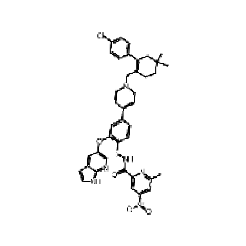 Cc1cc([N+](=O)[O-])cc(C(=O)NSc2ccc(C3=CCN(CC4=C(c5ccc(Cl)cc5)CC(C)(C)CC4)CC3)cc2Oc2cnc3[nH]ccc3c2)n1